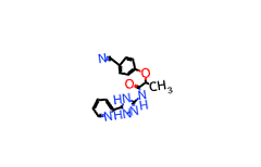 CC(Oc1ccc(C#N)cc1)C(=O)NC1=NNC(c2ccccn2)N1